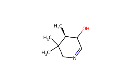 C[C@H]1C(O)C=NCC1(C)C